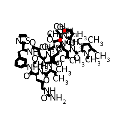 CCC1[C@@H](C)C(C)[C@@H](C(=O)N[C@H](C(=O)N(C)C([C@@H](C)CC)[C@@H](CC(=O)N2CCC[C@H]2[C@H](OC)[C@@H](C)C(=O)N[C@@H](Cc2cccc(NC(=O)[C@H](CCCNC(N)=O)NC(=O)C(NC(=O)CCOCCN3C(=O)C=CC3=O)C(C)C)c2)c2nccs2)OC)C(C)C)N1C